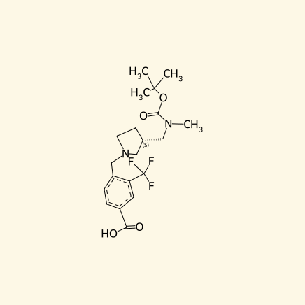 CN(C[C@H]1CCN(Cc2ccc(C(=O)O)cc2C(F)(F)F)C1)C(=O)OC(C)(C)C